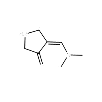 CN(C)C=C1CNCC1=O